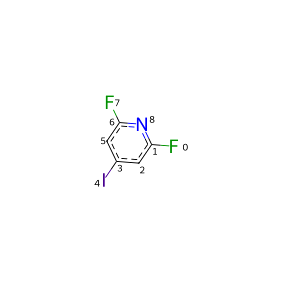 Fc1cc(I)cc(F)n1